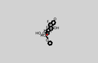 C[C@]12C=CC(=O)C=C1[C@@H](F)C[C@H]1[C@@H]3C[C@H]4C(C(=O)O)N(CCOc5ccccc5)C[C@@]4(C(=O)CO)[C@@]3(C)C[C@H](O)[C@@]12F